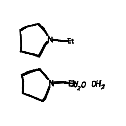 CCN1CCCC1.CCN1CCCC1.O.O